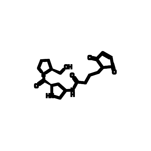 O=C(CCCC1C(=O)C=CC1=O)NC1CN[C@H](C(=O)N2CCC[C@H]2CO)C1